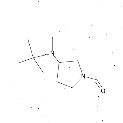 CN(C1CCN(C=O)C1)C(C)(C)C